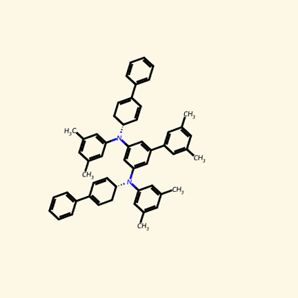 Cc1cc(C)cc(-c2cc(N(c3cc(C)cc(C)c3)[C@H]3C=CC(c4ccccc4)=CC3)cc(N(c3cc(C)cc(C)c3)[C@H]3C=CC(c4ccccc4)=CC3)c2)c1